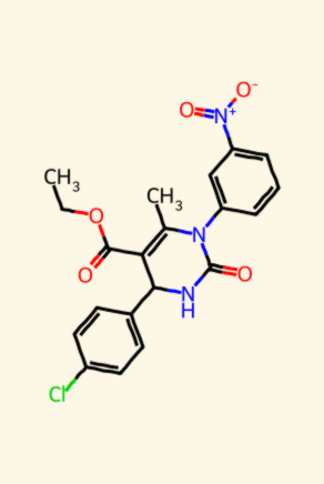 CCOC(=O)C1=C(C)N(c2cccc([N+](=O)[O-])c2)C(=O)NC1c1ccc(Cl)cc1